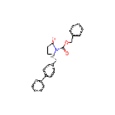 O=C1CC[C@@H](Cc2ccc(-c3ccccc3)cc2)N1C(=O)OCc1ccccc1